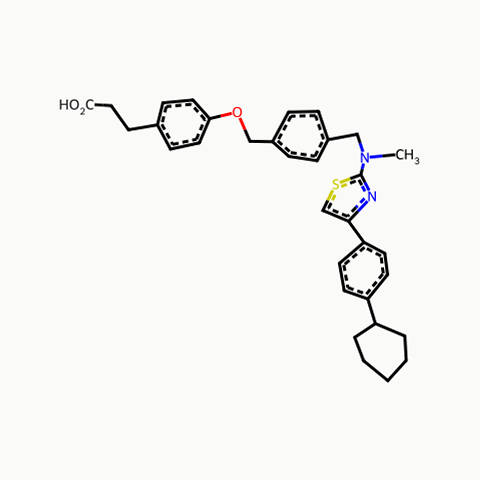 CN(Cc1ccc(COc2ccc(CCC(=O)O)cc2)cc1)c1nc(-c2ccc(C3CCCCC3)cc2)cs1